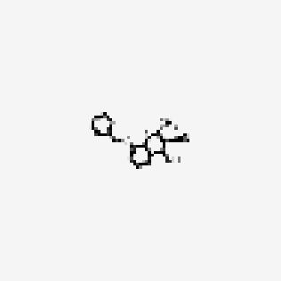 Cc1nc2c(OCc3ccccc3)cccn2c(=N)c1C#N